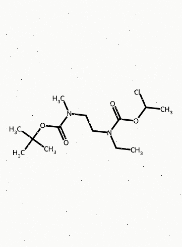 CCN(CCN(C)C(=O)OC(C)(C)C)C(=O)OC(C)Cl